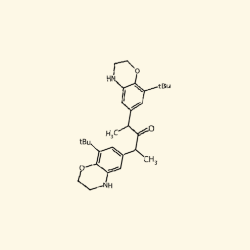 CC(C(=O)C(C)c1cc2c(c(C(C)(C)C)c1)OCCN2)c1cc2c(c(C(C)(C)C)c1)OCCN2